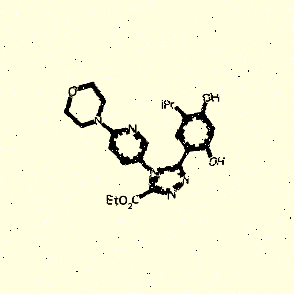 CCOC(=O)c1nnc(-c2cc(C(C)C)c(O)cc2O)n1-c1ccc(N2CCOCC2)nc1